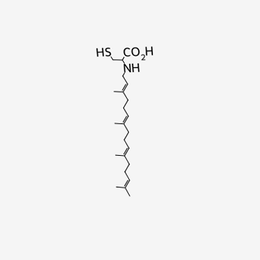 CC(C)=CCC/C(C)=C/CC/C(C)=C/CC/C(C)=C/CNC(CS)C(=O)O